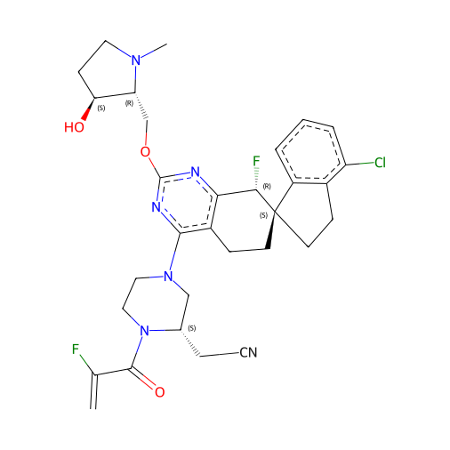 C=C(F)C(=O)N1CCN(c2nc(OC[C@@H]3[C@@H](O)CCN3C)nc3c2CC[C@@]2(CCc4c(Cl)cccc42)[C@H]3F)C[C@@H]1CC#N